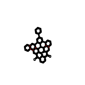 O=c1c2cccc3c2n2c4c(cc(-c5ccccc5)cc4c(=O)c4cccc1c42)B3c1c(-c2ccccc2)cc(-c2ccccc2)cc1-c1ccccc1